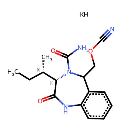 CC[C@H](C)[C@H]1C(=O)Nc2ccccc2C(COC#N)N1C(N)=O.[KH]